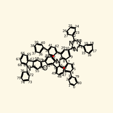 c1ccc(-c2ccc(-c3cc(-c4nc(-c5ccccc5)nc(-c5ccccc5)n4)cc(-c4ccc(-c5ccccc5)cc4)c3-n3c4ccccc4c4c5oc6cc7c(cc6c5ccc43)c3ccccc3n7-c3ccccc3)cc2)cc1